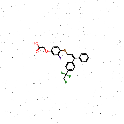 O=C(O)COc1ccc(SC/C=C(/c2ccccc2)c2ccc(C(F)(F)CF)cc2)c(I)c1